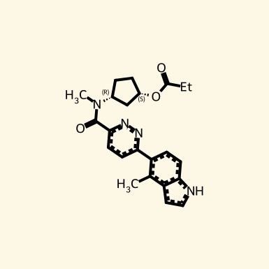 CCC(=O)O[C@H]1CC[C@@H](N(C)C(=O)c2ccc(-c3ccc4[nH]ccc4c3C)nn2)C1